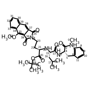 CNC(=O)[C@H](Cc1ccccc1)NC(=O)[C@H](CC(C)C)N[C@H](CCN1C(=O)c2cc3ccccc3c(OC)c2C1=O)C(=O)OC(C)(C)C